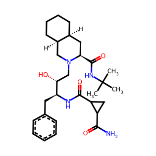 CC(C)(C)NC(=O)[C@@H]1C[C@@H]2CCCC[C@@H]2CN1C[C@@H](O)[C@H](Cc1ccccc1)NC(=O)C1CC1C(N)=O